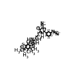 Cc1c(C)c(S(=O)(=O)NC(=N)NCCC[C@H](NC(=O)c2cccc(N=[N+]=[N-])c2)C(=O)C=[N+]=[N-])c(C)c2c1C(C)(C)OC2